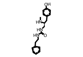 CN[C@H](CNC(=O)NCCc1ccccc1)Cc1ccc(O)cc1